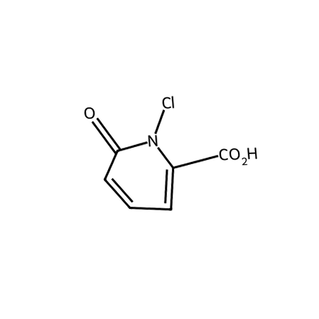 O=C(O)c1cccc(=O)n1Cl